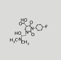 CN(C)C(O)Cn1cc(C(=O)O)c(=O)n(-c2ccc(F)cc2)c1=O